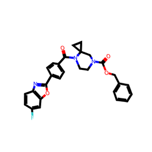 O=C(OCc1ccccc1)N1CCN(C(=O)c2ccc(-c3nc4ccc(F)cc4o3)cc2)C2(CC2)C1